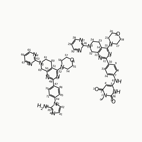 Cn1c(=O)cc(Nc2ccc(-c3nc4c(c(N5CCOCC5)n3)CCN(c3ncccn3)C4)cc2)[nH]c1=O.Nc1nccn1-c1ccc(-c2nc3c(c(N4CCOCC4)n2)CCN(c2ncccn2)C3)cc1